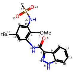 COc1c(NC(=O)c2n[nH]c3ccccc23)cc(C(C)(C)C)cc1NS(C)(=O)=O